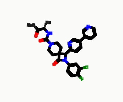 CCC(C)[C@H](NC(=O)N1CCC2(CC1)C(=O)N(c1ccc(F)c(Cl)c1)C2c1ccc(-c2cccnc2)cn1)C(=O)OC